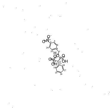 O=[N+]([O-])c1ccc(COP(=O)(O)C(c2ccccc2)P(=O)(O)O)cc1